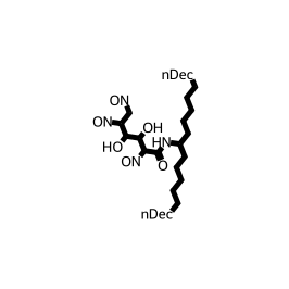 CCCCCCCCCCCCCCCC(CCCCCCCCCCCCCCC)NC(=O)C(N=O)C(O)C(O)C(CN=O)N=O